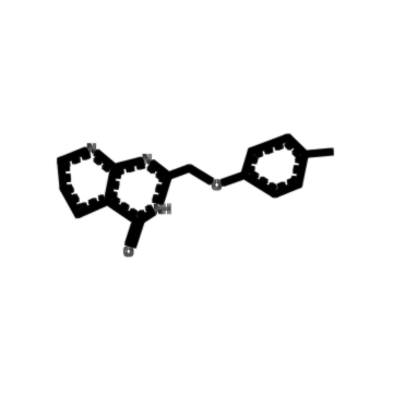 Cc1ccc(OCc2nc3ncccc3c(=O)[nH]2)cc1